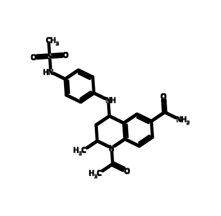 CC(=O)N1c2ccc(C(N)=O)cc2C(Nc2ccc(NS(C)(=O)=O)cc2)CC1C